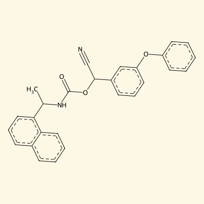 CC(NC(=O)OC(C#N)c1cccc(Oc2ccccc2)c1)c1cccc2ccccc12